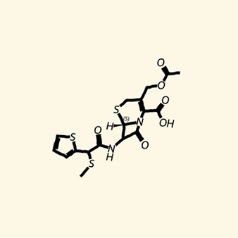 CSC(C(=O)NC1C(=O)N2C(C(=O)O)=C(COC(C)=O)CS[C@@H]12)c1cccs1